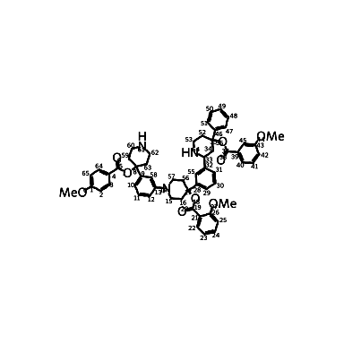 COc1ccc(C(=O)OC2(c3cccc(N4CCC(OC(=O)c5ccccc5OC)(c5cccc(C6CC(OC(=O)c7cccc(OC)c7)(c7ccccc7)CCN6)c5)CC4)c3)CCNCC2)cc1